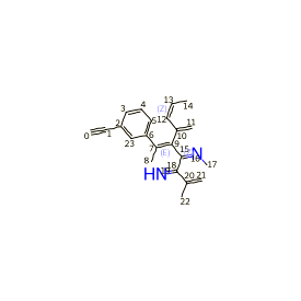 C#Cc1cccc(/C(C)=C(C(=C)/C=C\C)/C(=N/C)C(=N)C(=C)C)c1